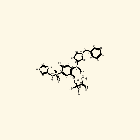 CCN(c1cc(F)c(S(=O)(=O)Nc2cscn2)cc1C)C1CCN(Cc2ccccc2)C1.O=C(O)C(F)(F)F